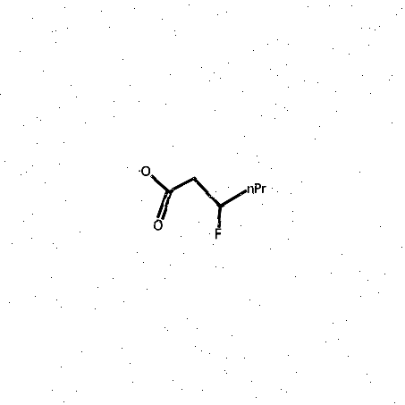 CCCC(F)CC([O])=O